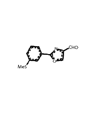 CSc1cccc(-c2nc([C]=O)co2)c1